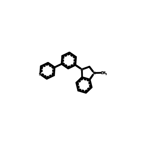 CN1CN(c2cccc(-c3ccncc3)c2)c2ccccc21